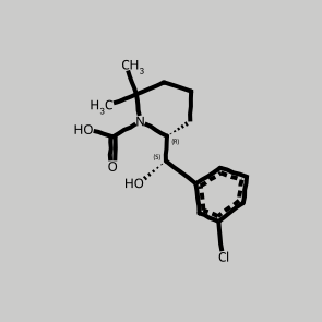 CC1(C)CCC[C@H]([C@@H](O)c2cccc(Cl)c2)N1C(=O)O